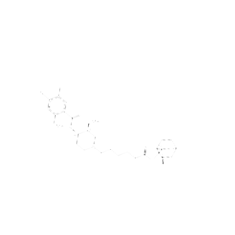 COc1cc(N)c(Cl)cc1C(=O)N[C@@H]1CCN(CCCCCC(=O)O[C@H]2CC3CCC2CC3)C[C@@H]1OC